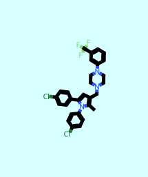 Cc1c(CN2CCN(c3cccc(C(F)(F)F)c3)CC2)cc(-c2ccc(Cl)cc2)n1-c1ccc(Cl)cc1